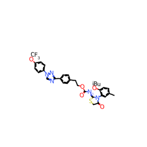 CCC(C)Oc1ccc(C)cc1N1C(=O)CS/C1=N\C(=O)OCCc1ccc(-c2ncn(-c3ccc(OC(F)(F)F)cc3)n2)cc1